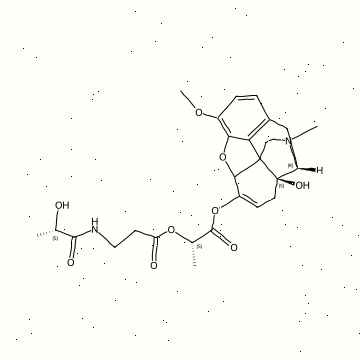 COc1ccc2c3c1OC1C(OC(=O)[C@H](C)OC(=O)CCNC(=O)[C@H](C)O)=CC[C@@]4(O)[C@@H](C2)N(C)CCC314